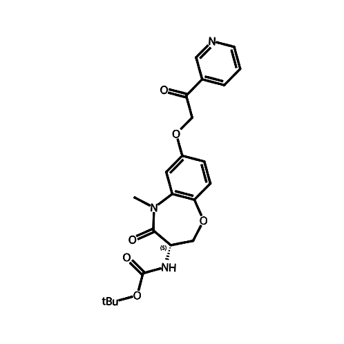 CN1C(=O)[C@@H](NC(=O)OC(C)(C)C)COc2ccc(OCC(=O)c3cccnc3)cc21